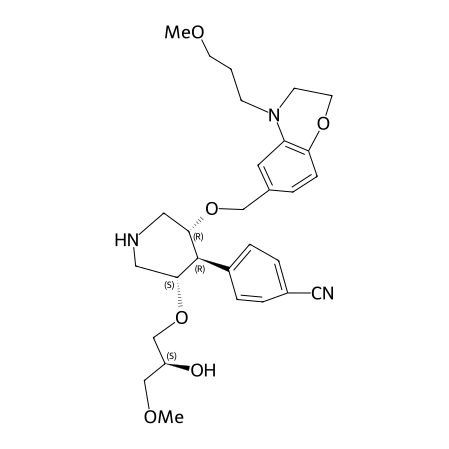 COCCCN1CCOc2ccc(CO[C@H]3CNC[C@@H](OC[C@@H](O)COC)[C@@H]3c3ccc(C#N)cc3)cc21